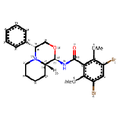 COc1c(Br)cc(Br)c(OC)c1C(=O)N[C@@H]1OC[C@@H](c2ccccc2)N2CCCC[C@@H]12